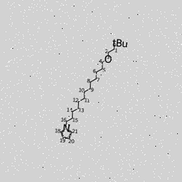 CC(C)(C)CCOCCCCCCCCCCCCCn1cccc1